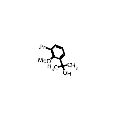 COc1c(C(C)C)cccc1C(C)(C)O